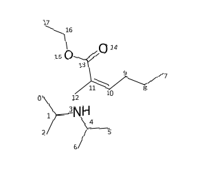 CC(C)NC(C)C.CCCC=C(C)C(=O)OCC